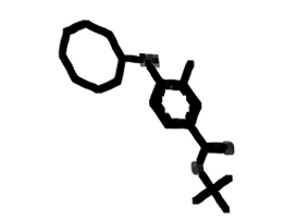 Cc1cc(C(=O)OC(C)(C)C)ccc1NC1CCCCCCC1